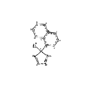 CCC1(c2cccc3ccccc23)C=CC=N1